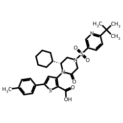 Cc1ccc(-c2cc(N3C(=O)CN(S(=O)(=O)c4ccc(C(C)(C)C)nc4)C[C@H]3C3CCCCC3)c(C(=O)O)s2)cc1